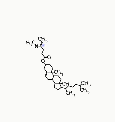 C=N/C(=C\C)CCC(=O)OC1CCC2(C)C(=CCC3C2CCC2(C)C(C(C)CCCC(C)C)CCC32)C1